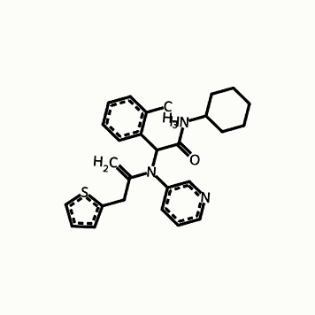 C=C(Cc1cccs1)N(c1cccnc1)C(C(=O)NC1CCCCC1)c1ccccc1C